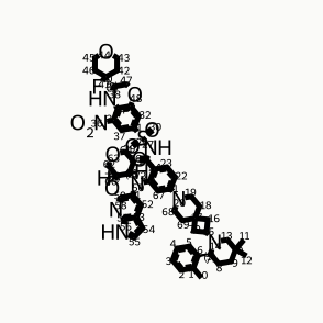 Cc1ccccc1[C@@H]1CCC(C)(C)CN1C1CC2(CCN(c3ccc(C(=O)NS(=O)(=O)c4cc5c(c([N+](=O)[O-])c4)N[C@H](C4(F)CCOCC4)CO5)c(N4c5cc6cc[nH]c6nc5O[C@H]5COCC[C@@H]54)c3)CC2)C1